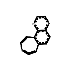 C1=Cc2ccc3nccnc3c2C=CN=1